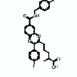 CC(CCCc1nc2cc(C(=O)NCc3ccc(F)cc3)ccc2nc1-c1ccc(F)cc1)C(=O)O